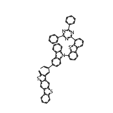 C=c1sc2cc3c(cc2/c1=C/C(=C\C)c1ccc2c(c1)c1ccccc1n2-c1cccc2c1sc1c(-c4nc(-c5ccccc5)nc(-c5ccccc5)n4)cccc12)sc1ccccc13